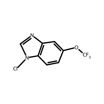 FC(F)(F)Oc1ccc2c(c1)ncn2Cl